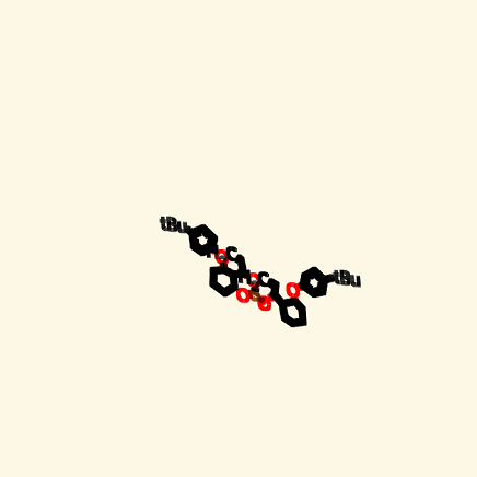 C=CC(OS(=O)OC(C=C)C1CCCCC1Oc1ccc(C(C)(C)C)cc1)C1CCCCC1Oc1ccc(C(C)(C)C)cc1